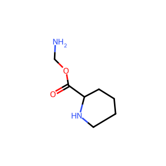 NCOC(=O)C1CCCCN1